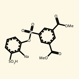 COC(=O)c1cc(C(=O)OC)cc(S(=O)(=O)Oc2cccc(S(=O)(=O)O)[c]2[Na])c1